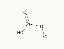 [O]=[Sn]([OH])[O]Cl